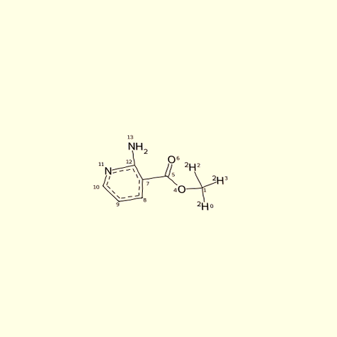 [2H]C([2H])([2H])OC(=O)c1cccnc1N